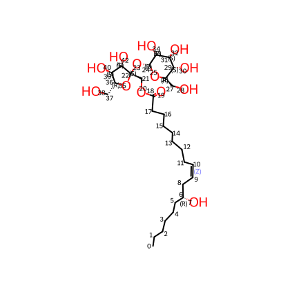 CCCCCC[C@@H](O)C/C=C\CCCCCCCC(=O)OC[C@@]1(O[C@H]2O[C@H](CO)[C@@H](O)[C@H](O)[C@H]2O)O[C@H](CO)[C@@H](O)[C@@H]1O